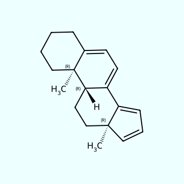 C[C@@]12C=CC=C1C1=CC=C3CCCC[C@]3(C)[C@H]1CC2